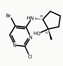 C[C@]1(O)CCC[C@H]1Nc1nc(Cl)ncc1Br